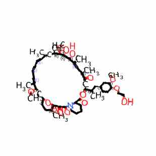 CO[C@H]1CC2CC[C@@H](C)[C@@](O)(O2)C(=O)C(=O)N2CCCCC2C(=O)O[C@H]([C@H](C)C[C@@H]2CC[C@@H](OCCO)[C@H](OC)C2)CC(=O)[C@H](C)/C=C(\C)[C@@H](O)[C@@H](OC)C(=O)[C@H](C)C[C@H](C)/C=C/C=C/C=C/1C